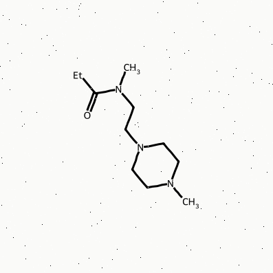 CCC(=O)N(C)CCN1CCN(C)CC1